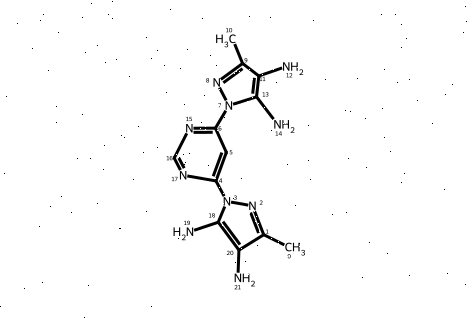 Cc1nn(-c2cc(-n3nc(C)c(N)c3N)ncn2)c(N)c1N